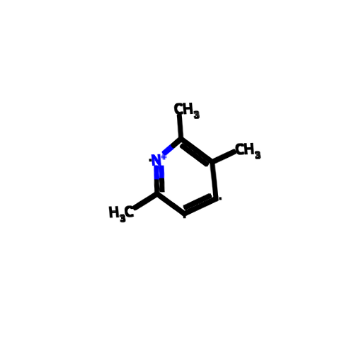 CC1=[N+]C(C)=C(C)[C]=[C]1